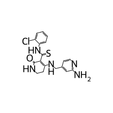 Nc1cc(CNC2=C(C(=S)Nc3ccccc3Cl)C(=O)NCC2)ccn1